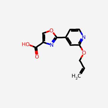 C=CCOc1cc(-c2nc(C(=O)O)co2)ccn1